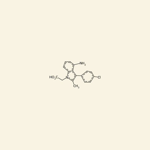 Cc1c(-c2ccc(Cl)cc2)c2c(N)cccc2n1CC(=O)O